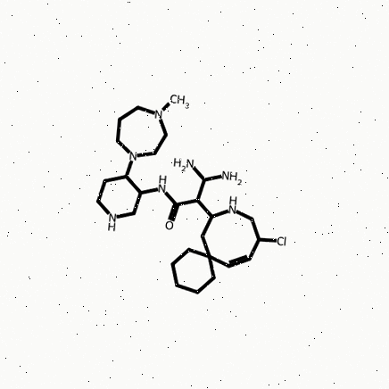 CN1CCCN(C2CCNCC2NC(=O)C(C(N)N)C2CC3(/C=C\C(Cl)CN2)CCCCC3)CC1